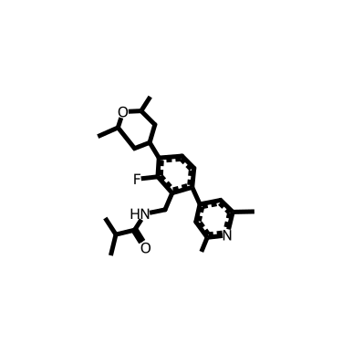 Cc1cc(-c2ccc(C3CC(C)OC(C)C3)c(F)c2CNC(=O)C(C)C)cc(C)n1